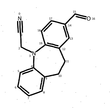 N#CCN1c2ccccc2CCc2cc(C=O)ccc21